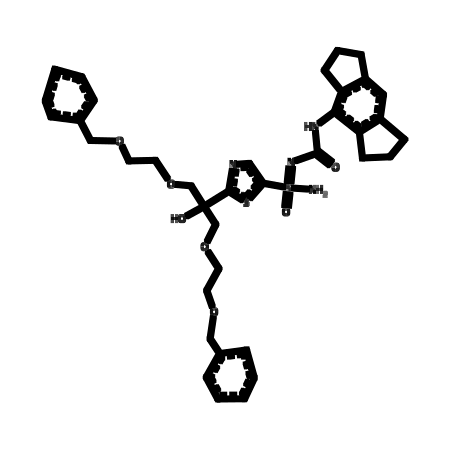 NS(=O)(=NC(=O)Nc1c2c(cc3c1CCC3)CCC2)c1cnc(C(O)(COCCOCc2ccccc2)COCCOCc2ccccc2)s1